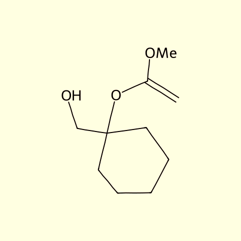 C=C(OC)OC1(CO)CCCCC1